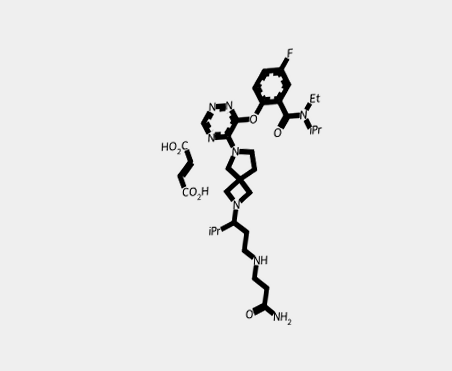 CCN(C(=O)c1cc(F)ccc1Oc1nncnc1N1CCC2(C1)CN(C(CCNCCC(N)=O)C(C)C)C2)C(C)C.O=C(O)/C=C/C(=O)O